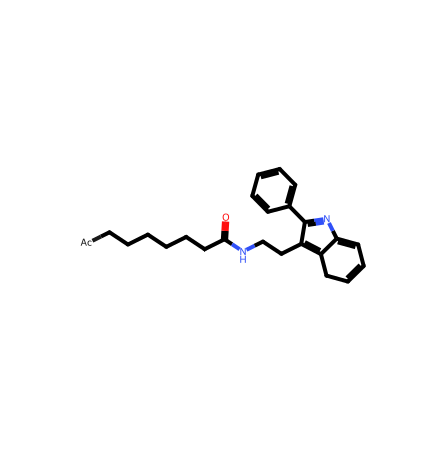 CC(=O)CCCCC[CH]C(=O)NCCC1=C2CC=CC=C2N=C1c1ccccc1